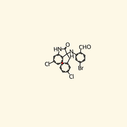 O=Cc1ccc(Br)cc1NC1(Cc2cccc(Cl)c2)C(=O)Nc2cc(Cl)ccc21